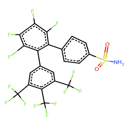 NS(=O)(=O)c1ccc(-c2c(F)c(F)c(F)c(F)c2-c2cc(C(F)(F)F)c(C(F)(F)F)c(C(F)(F)F)c2)cc1